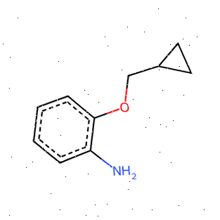 Nc1ccccc1OCC1CC1